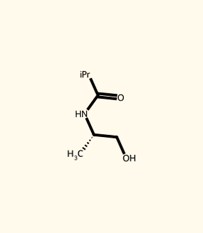 CC(C)C(=O)N[C@@H](C)CO